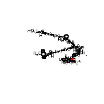 C=C1Cc2ccccc2N(C(=O)CCC(=O)NCCOCCOCCOCCOCCC(=O)N[C@H](CCCCNC(=O)COC2CCCCC/C(NCCOCCOCCOCCOCCC(=O)NCCS(=O)(=O)O)=C\2N)C(=O)N[C@H](C(=O)N[C@@H](C)C(=O)Nc2ccc(OCC(=O)[C@@]34OC(CCC)O[C@@H]3C[C@H]3[C@@H]5C[C@H](F)C6=CC(=O)C=C[C@]6(C)[C@@]5(F)[C@@H](O)C[C@@]34C)cc2)C(C)C)Cc2ccccc21